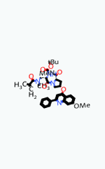 C=C(C)C(=O)N(C)C[C@H](NC(=O)OC(C)(C)C)C(=O)N1C[C@H](Oc2cc(-c3ccccc3)nc3cc(OC)ccc23)C[C@H]1C(=O)NC